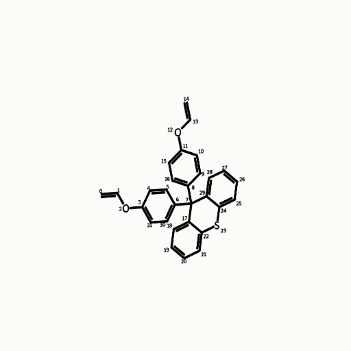 C=COc1ccc(C2(c3ccc(OC=C)cc3)c3ccccc3Sc3ccccc32)cc1